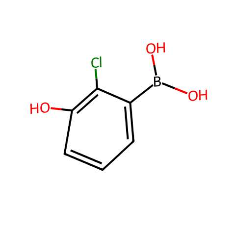 OB(O)c1cccc(O)c1Cl